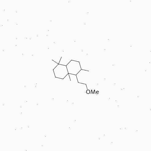 COCCC1C(C)CCC2C(C)(C)CCCC12C